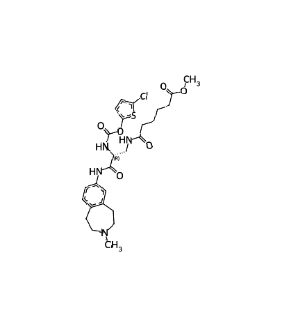 COC(=O)CCCCC(=O)NC[C@@H](NC(=O)Oc1ccc(Cl)s1)C(=O)Nc1ccc2c(c1)CCN(C)CC2